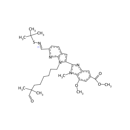 COC(=O)c1cc(OC)c2c(c1)nc(-c1cc3ccc(/C=N/SC(C)(C)C)nc3n1CCCCCCC(C)(C)C=O)n2C